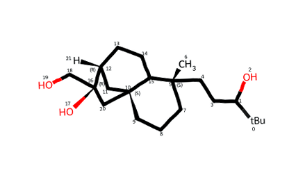 CC(C)(C)C(O)CC[C@]1(C)CCC[C@@]23C[C@@H](CCC12)[C@@](O)(CO)C3